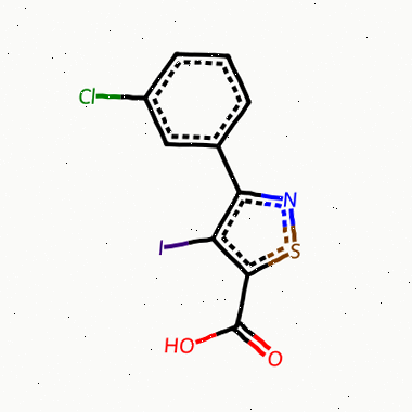 O=C(O)c1snc(-c2cccc(Cl)c2)c1I